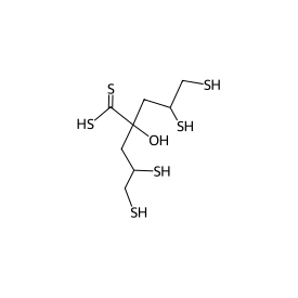 OC(CC(S)CS)(CC(S)CS)C(=S)S